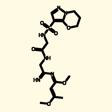 CO/C(C)=C/C(=N\C(=N)CNC(=O)CNS(=O)(=O)c1cnn2c1OCCC2)OC